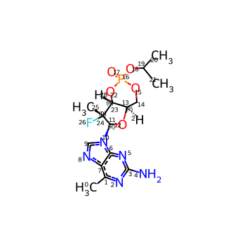 Cc1nc(N)nc2c1ncn2[C@@H]1O[C@@H]2COP(=O)(OC(C)C)O[C@H]2[C@@]1(C)F